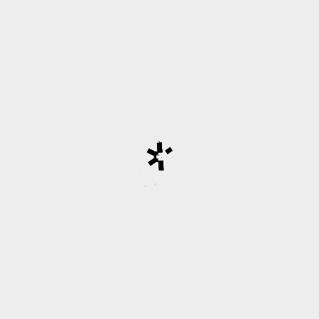 C.[O]=[Nb](=[O])(=[O])(=[O])=[O]